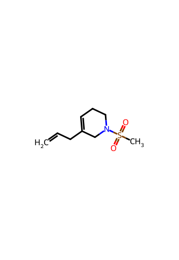 C=CCC1=CCCN(S(C)(=O)=O)C1